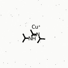 CC(=NC(C)C)NC(C)C.[Cu+]